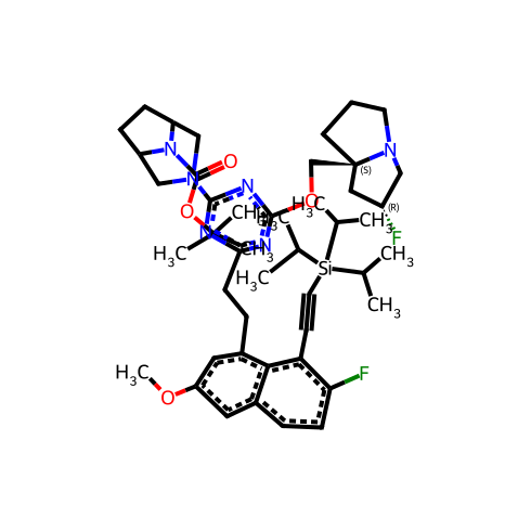 COc1cc(CCc2nc(OC[C@@]34CCCN3C[C@H](F)C4)nc(N3CC4CCC(C3)N4C(=O)OC(C)(C)C)n2)c2c(C#C[Si](C(C)C)(C(C)C)C(C)C)c(F)ccc2c1